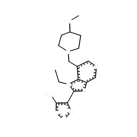 CCn1c(-c2nonc2N)nc2cncc(CN3CCC(NC)CC3)c21.Cl